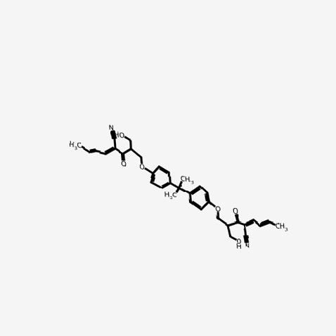 CC=CC=C(C#N)C(=O)C(CO)COc1ccc(C(C)(C)c2ccc(OCC(CO)C(=O)C(C#N)=CC=CC)cc2)cc1